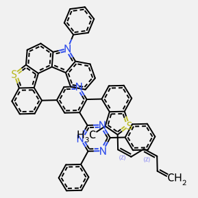 C=C/C=C\C=C/c1sc2cccc(-c3ncc(-c4cccc5sc6ccc7c(c8ccccc8n7-c7ccccc7)c6c45)cc3-c3nc(-c4ccccc4)nc(-c4ccccc4)n3)c2c1C